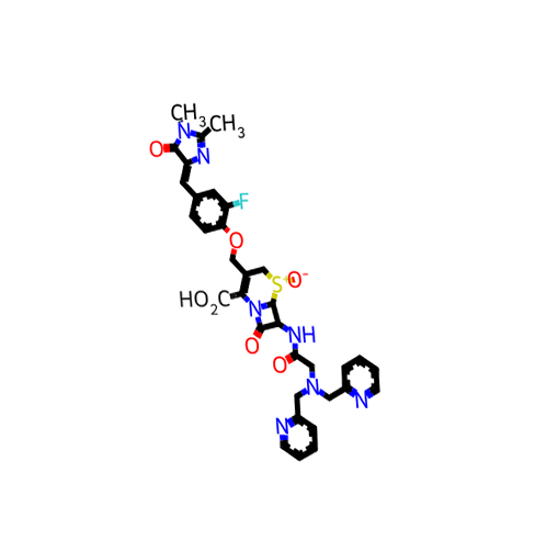 CC1=N/C(=C\c2ccc(OCC3=C(C(=O)O)N4C(=O)C(NC(=O)CN(Cc5ccccn5)Cc5ccccn5)C4[S+]([O-])C3)c(F)c2)C(=O)N1C